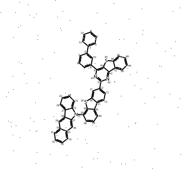 c1ccc(-c2cccc(-c3nc(-c4ccc5c(c4)sc4c(-n6c7ccccc7c7cc8ccccc8cc76)cccc45)nc4c3sc3ccccc34)c2)cc1